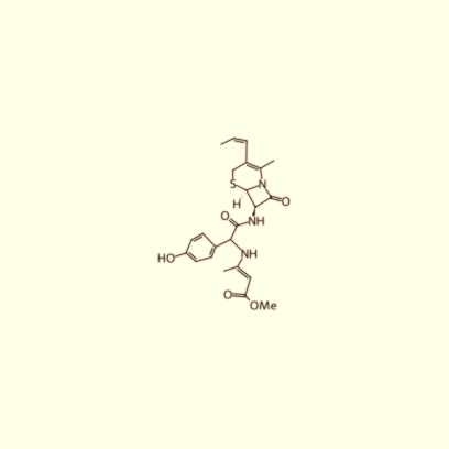 C/C=C\C1=C(C)N2C(=O)[C@@H](NC(=O)C(N/C(C)=C/C(=O)OC)c3ccc(O)cc3)[C@H]2SC1